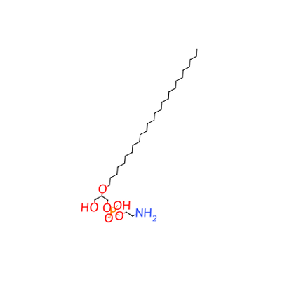 CCCCCCCCCCCCCCCCCCCCCCCCCCO[C@H](CO)COP(=O)(O)OCCN